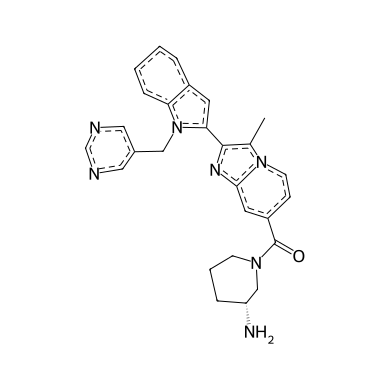 Cc1c(-c2cc3ccccc3n2Cc2cncnc2)nc2cc(C(=O)N3CCC[C@@H](N)C3)ccn12